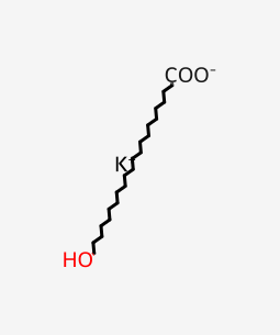 O=C([O-])CCCCCCCCCCCCCCCCCCCCCO.[K+]